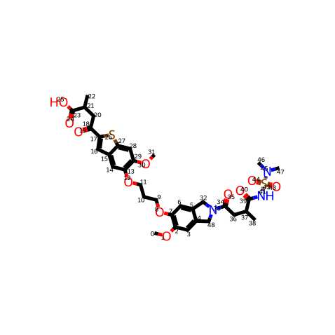 COc1cc2c(cc1OCCCOc1cc3cc(C(=O)CC(C)C(=O)O)sc3cc1OC)CN(C(=O)CC(C)C(=O)NS(=O)(=O)N(C)C)C2